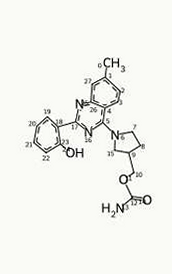 Cc1ccc2c(N3CCC(COC(N)=O)C3)nc(-c3ccccc3O)nc2c1